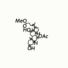 COC(=O)CC[C@@H](C)[C@H]1CC[C@H]2C3C(C[C@H](O)[C@]12C)[C@@]1(C)CC[C@@H](O)C[C@H]1C[C@H]3OC(C)=O